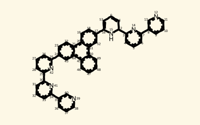 C1=CC(c2cccc(-c3cccnc3)n2)NC(c2ccc3c4ccc(-c5cccc(-c6cccc(-c7cccnc7)n6)n5)cc4c4ccccc4c3c2)=C1